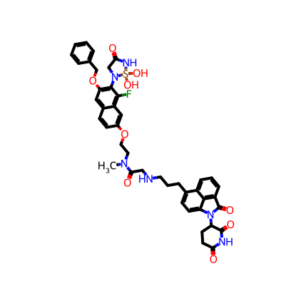 CN(CCOc1ccc2cc(OCc3ccccc3)c(N3CC(=O)NS3(O)O)c(F)c2c1)C(=O)CNCCCc1ccc2c3c(cccc13)C(=O)N2C1CCC(=O)NC1=O